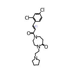 O=C(/C=C/c1ccc(Cl)cc1Cl)N1CCC(=O)N(CCN2CCCC2)CC1